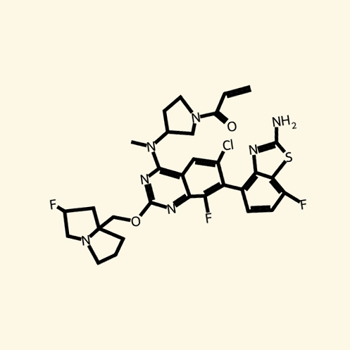 C=CC(=O)N1CCC(N(C)c2nc(OCC34CCCN3CC(F)C4)nc3c(F)c(-c4ccc(F)c5sc(N)nc45)c(Cl)cc23)C1